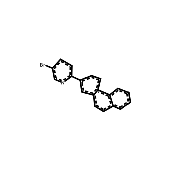 Brc1ccc(-c2ccc3c(ccc4ccccc43)c2)nc1